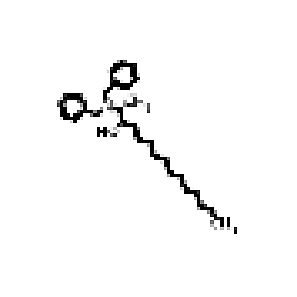 CCCCCCCCCCCC[C@@H](O)[C@H](C)N(Cc1ccccc1)Cc1ccccc1